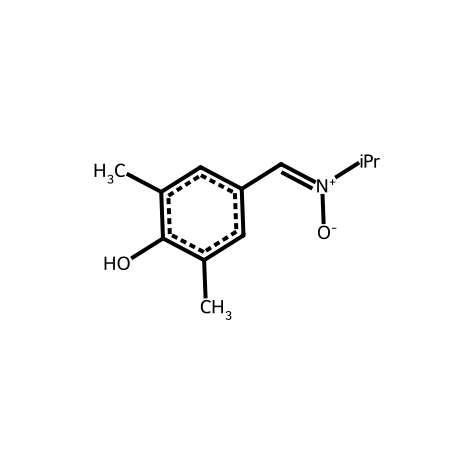 Cc1cc(C=[N+]([O-])C(C)C)cc(C)c1O